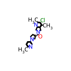 Cc1ccc(N2CC[C@@H](C(=O)N3Cc4nc(C)c(Cl)c(C)c4C3)C2)cn1